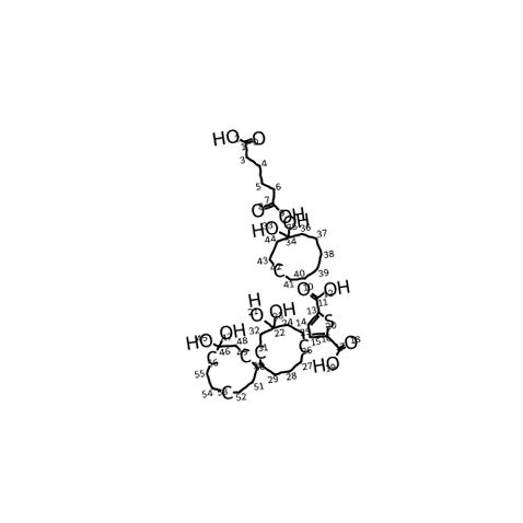 O=C(O)CCCCC(=O)O.O=C(O)c1ccc(C(=O)O)s1.OC1(O)CCCCCCCCC1.OC1(O)CCCCCCCCC1.OC1(O)CCCCCCCCC1